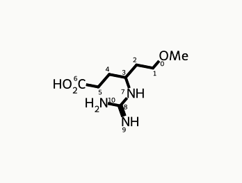 COCCC(CCC(=O)O)NC(=N)N